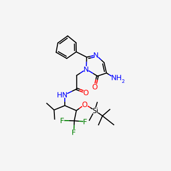 CC(C)C(NC(=O)Cn1c(-c2ccccc2)ncc(N)c1=O)C(O[Si](C)(C)C(C)(C)C)C(F)(F)F